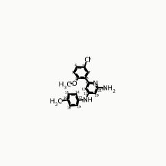 COc1ccc(Cl)cc1-c1cc(Nc2ccc(C)cc2)cc(N)n1